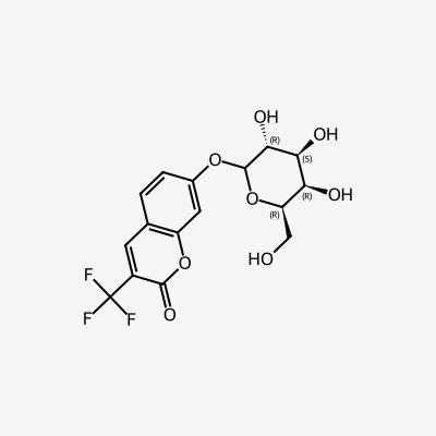 O=c1oc2cc(OC3O[C@H](CO)[C@H](O)[C@H](O)[C@H]3O)ccc2cc1C(F)(F)F